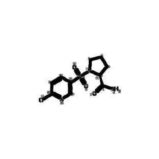 NC(=O)[C@@H]1CCCN1S(=O)(=O)c1ccc(Cl)nc1